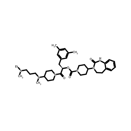 CCN(C)CCCN(C)C1CCN(C(=O)[C@@H](Cc2cc(C)cc(C)c2)OC(=O)N2CCC(N3CCc4ccccc4NC3=O)CC2)CC1